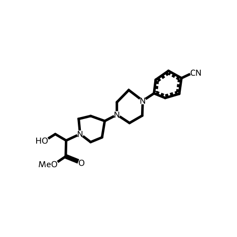 COC(=O)C(CO)N1CCC(N2CCN(c3ccc(C#N)cc3)CC2)CC1